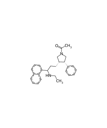 CCNC(CC[C@@H]1CN(C(C)=O)C[C@@H]1c1ccccc1)c1cccc2ccccc12